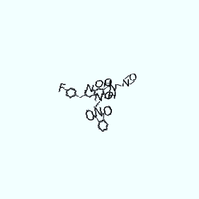 O=C(NCCN1CCOCC1)c1c(O)c2ncc(Cc3ccc(F)cc3)cc2n(CCN2C(=O)c3ccccc3C2=O)c1=O